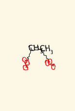 CC(=CCCCC(C)CCCCC=CC(=O)OCC1CO1)CCCCCCC(=O)OCC1CO1